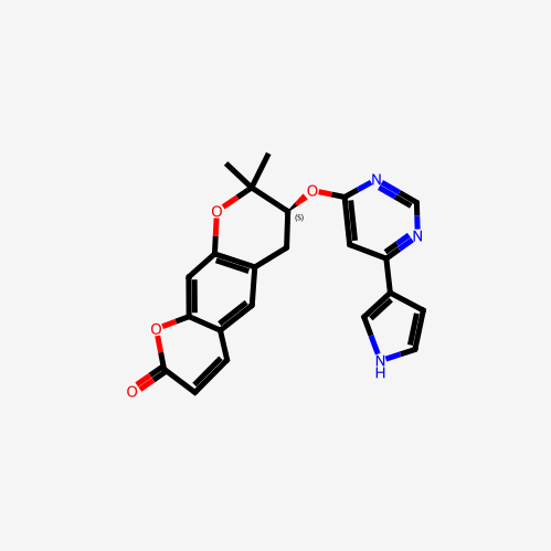 CC1(C)Oc2cc3oc(=O)ccc3cc2C[C@@H]1Oc1cc(-c2cc[nH]c2)ncn1